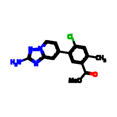 COC(=O)c1cc(-c2ccn3nc(N)nc3c2)c(Cl)cc1C